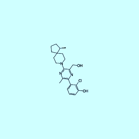 Cc1nc(N2CCC3(CCC[C@H]3C)CC2)c(CO)nc1-c1cccc(O)c1Cl